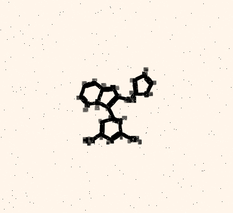 Cc1nc(N)cc(-c2c(Nc3cncs3)nc3cccnn23)n1